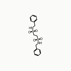 O=S(=O)(CCS(=O)(=O)NCc1ccccc1)NCc1ccccc1